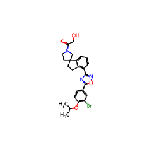 CC(C)Oc1ccc(-c2nc(-c3cccc4c3CCC43CCN(C(=O)CO)C3)no2)cc1Br